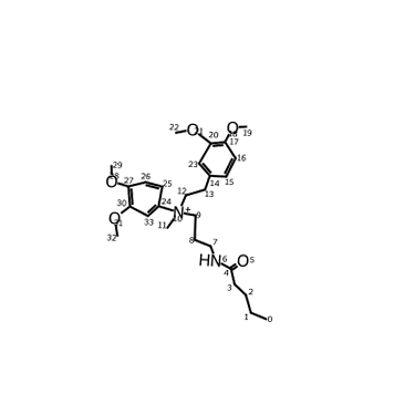 CCCCC(=O)NCCC[N+](C)(CCc1ccc(OC)c(OC)c1)c1ccc(OC)c(OC)c1